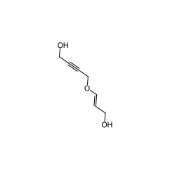 OCC#CCOC=CCO